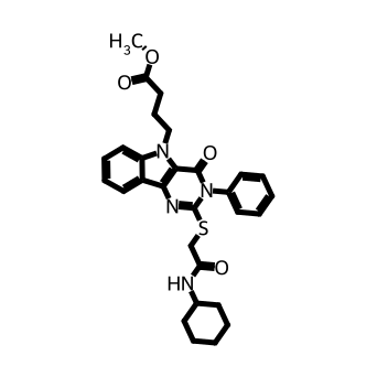 COC(=O)CCCn1c2ccccc2c2nc(SCC(=O)NC3CCCCC3)n(-c3ccccc3)c(=O)c21